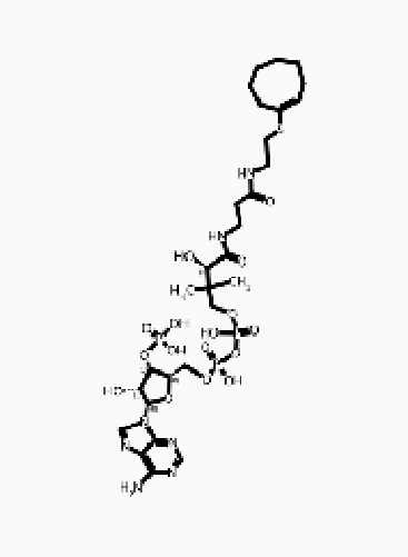 CC(C)(COP(=O)(O)OP(=O)(O)OC[C@H]1O[C@@H](n2cnc3c(N)ncnc32)[C@H](O)[C@@H]1OP(=O)(O)O)[C@@H](O)C(=O)NCCC(=O)NCCSC1=CCCCCCC1